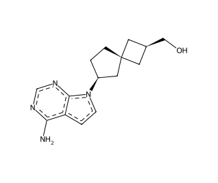 Nc1ncnc2c1ccn2[C@H]1CC[C@]2(C1)C[C@H](CO)C2